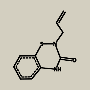 C=CCN1Sc2ccccc2NC1=O